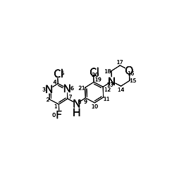 Fc1cnc(Cl)nc1Nc1ccc(N2CCOCC2)c(Cl)c1